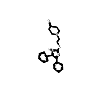 O=C1CCN(CCSc2nc(-c3ccccc3)c(-c3ccccc3)[nH]2)CC1